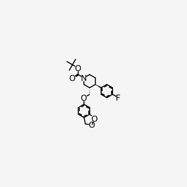 CC(C)(C)OC(=O)N1CC[C@@H](c2ccc(F)cc2)[C@H](COc2ccc3c(c2)OOC3)C1